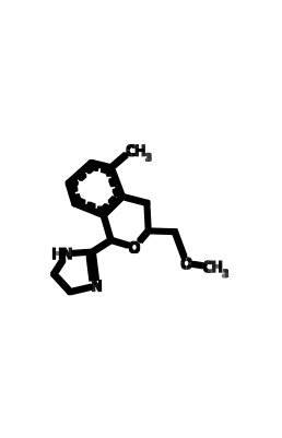 COCC1Cc2c(C)cccc2C(C2=NCCN2)O1